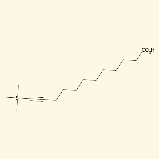 C[Si](C)(C)C#CCCCCCCCCCC(=O)O